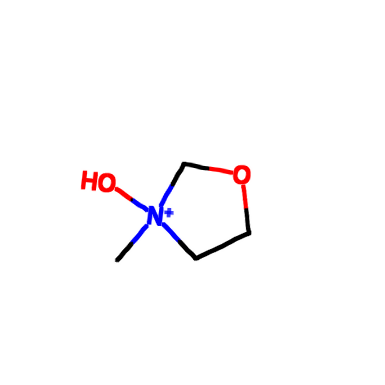 C[N+]1(O)CCOC1